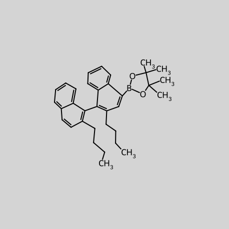 CCCCc1ccc2ccccc2c1-c1c(CCCC)cc(B2OC(C)(C)C(C)(C)O2)c2ccccc12